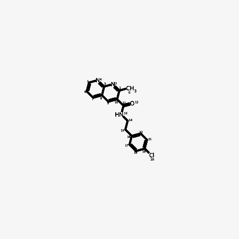 Cc1nc2ncccc2cc1C(=O)NCCc1ccc(Cl)cc1